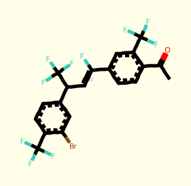 CC(=O)c1ccc(/C(F)=C/C(c2ccc(C(F)(F)F)c(Br)c2)C(F)(F)F)cc1C(F)(F)F